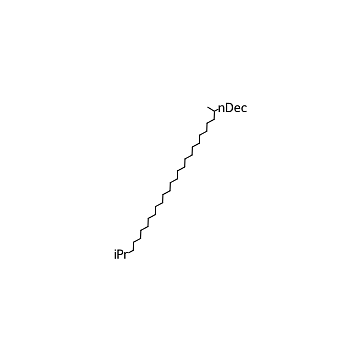 CCCCCCCCCCC(C)CCCCCCCCCCCCCCCCCCCCCCCC(C)C